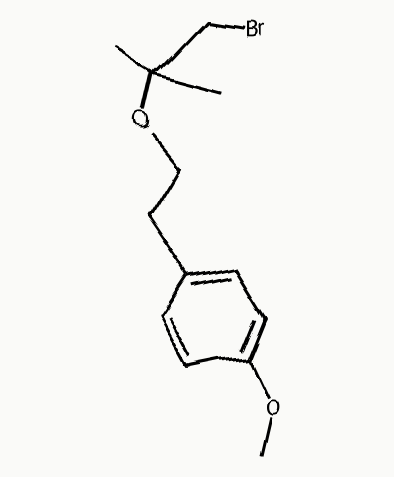 COc1ccc(CCOC(C)(C)CBr)cc1